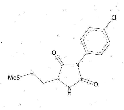 CSCCC1NC(=O)N(c2ccc(Cl)cc2)C1=O